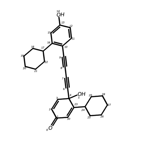 O=C1C=CC(O)(C#CC#Cc2ccc(O)cc2C2CCCCC2)C(C2CCCCC2)=C1